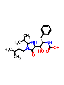 CC(C)CCN1C(=O)[C@H]([C@H](O)[C@H](Cc2ccccc2)NC(=O)O)NC1C(C)C